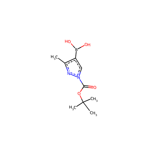 Cc1nn(C(=O)OC(C)(C)C)cc1B(O)O